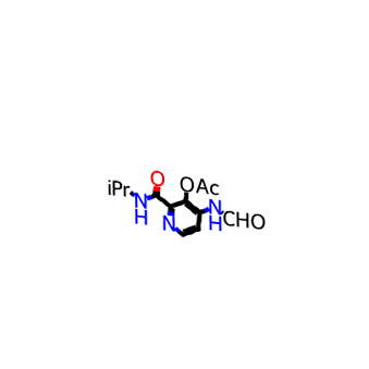 CC(=O)Oc1c(NC=O)ccnc1C(=O)NC(C)C